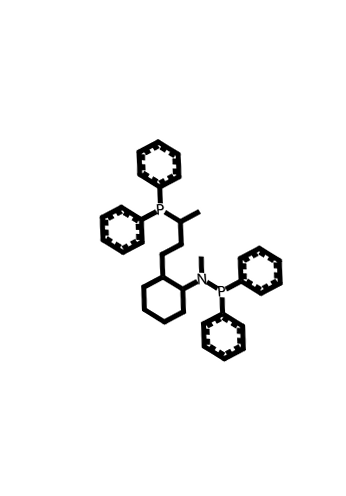 CC(CCC1CCCCC1N(C)P(c1ccccc1)c1ccccc1)P(c1ccccc1)c1ccccc1